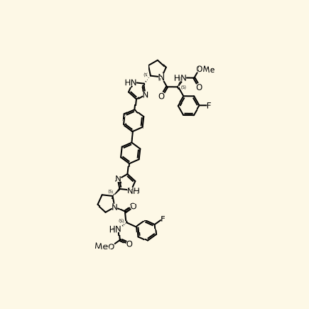 COC(=O)N[C@H](C(=O)N1CCC[C@H]1c1nc(-c2ccc(-c3ccc(-c4c[nH]c([C@@H]5CCCN5C(=O)[C@@H](NC(=O)OC)c5cccc(F)c5)n4)cc3)cc2)c[nH]1)c1cccc(F)c1